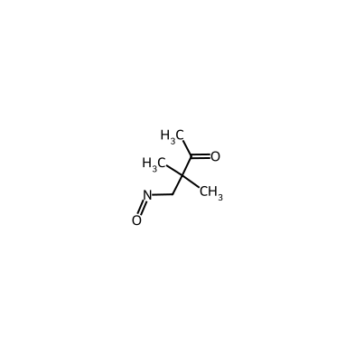 CC(=O)C(C)(C)CN=O